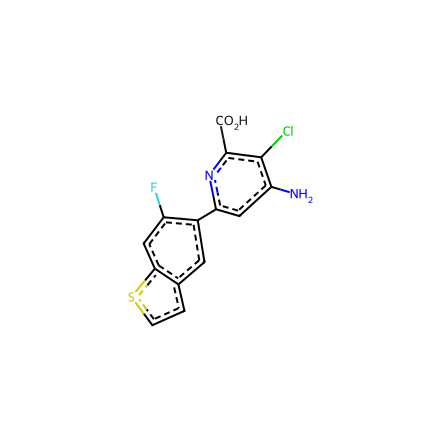 Nc1cc(-c2cc3ccsc3cc2F)nc(C(=O)O)c1Cl